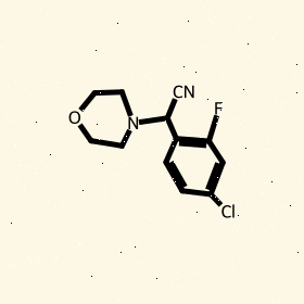 N#CC(c1ccc(Cl)cc1F)N1CCOCC1